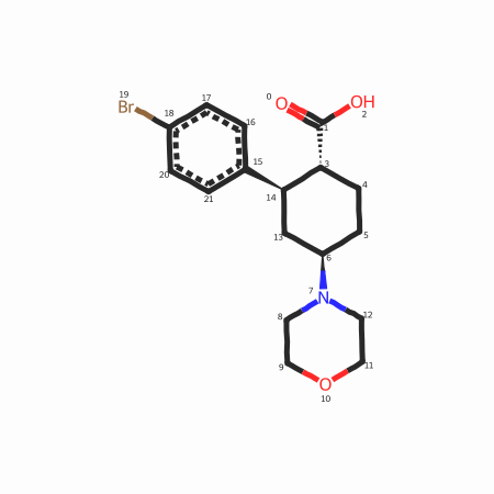 O=C(O)[C@@H]1CC[C@@H](N2CCOCC2)C[C@H]1c1ccc(Br)cc1